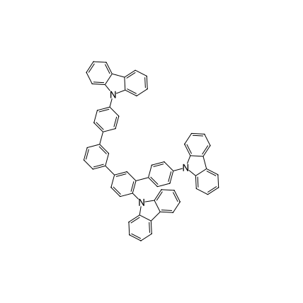 c1cc(-c2ccc(-n3c4ccccc4c4ccccc43)cc2)cc(-c2ccc(-n3c4ccccc4c4ccccc43)c(-c3ccc(-n4c5ccccc5c5ccccc54)cc3)c2)c1